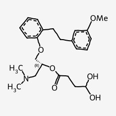 COc1cccc(CCc2ccccc2OC[C@@H](CN(C)C)OC(=O)CCC(O)O)c1